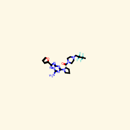 CC(F)(F)C(F)(F)CN1CCN(C(=O)[C@@H]2CCCN2c2nc(N)n3nc(-c4ccco4)nc3n2)CC1